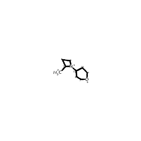 CC1CCN1C1CCOCC1